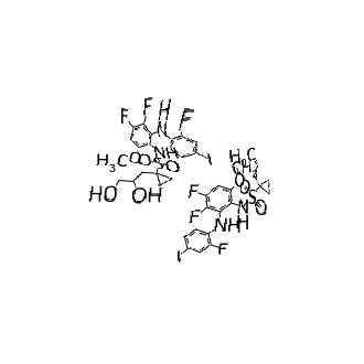 C=CCC1(S(=O)(=O)Nc2c(OC)cc(F)c(F)c2Nc2ccc(I)cc2F)CC1.COc1cc(F)c(F)c(Nc2ccc(I)cc2F)c1NS(=O)(=O)C1(CC(O)CO)CC1